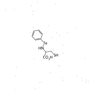 O=C(O)C(CS)N[Te]c1ccccc1